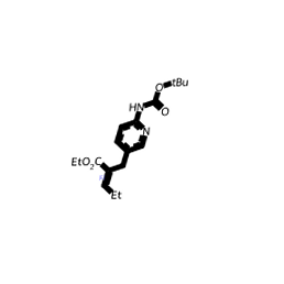 CC/C=C(\Cc1ccc(NC(=O)OC(C)(C)C)nc1)C(=O)OCC